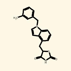 Cc1cccc(Cn2ccc3c(CC4SC(=O)NC4=O)cccc32)c1